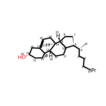 CC(C)CCC[C@@H](C)[C@H]1CC[C@@H]2C1CC[C@H]1[C@H]2CC=C2C[C@@H](O)CC[C@@]21C